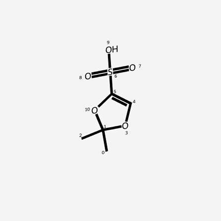 CC1(C)OC=C(S(=O)(=O)O)O1